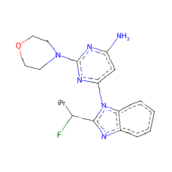 CC(C)C(F)c1nc2ccccc2n1-c1cc(N)nc(N2CCOCC2)n1